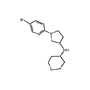 Brc1ccc(N2CCC(NC3CCOCC3)C2)nc1